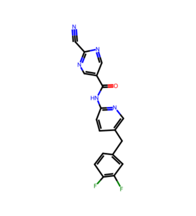 N#Cc1ncc(C(=O)Nc2ccc(Cc3ccc(F)c(F)c3)cn2)cn1